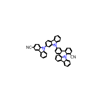 N#Cc1ccc2c(c1)c1ccccc1n2-c1ccc2c3ccccc3n(-c3cccc(-c4cccc(C#N)c4-n4c5ccccc5c5ccccc54)c3)c2c1